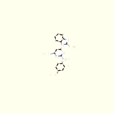 Cc1nc2c(F)cccc2n1-c1cc(N)nc(Nc2ccc(C(F)(F)F)cc2)n1